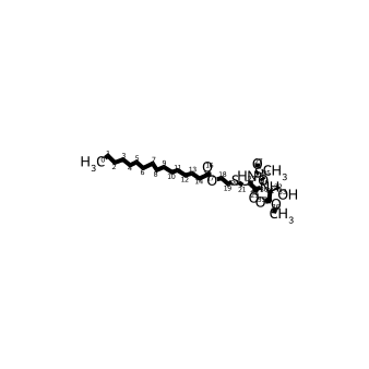 CCCCCCCCCCCCCCCC(=O)OCCSC[C@H](NS(C)(=O)=O)C(=O)N[C@@H](CO)C(=O)OC